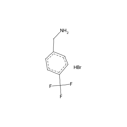 Br.NCc1ccc(C(F)(F)F)cc1